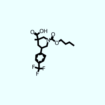 CCCCOC(=O)N1CC(c2ccc(C(F)(F)F)cc2)CC(C)(C(=O)O)C1